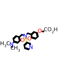 CN(C)c1ccc(CN(Cc2cccc(OCC(=O)O)c2)S(=O)(=O)c2cccnc2)cc1